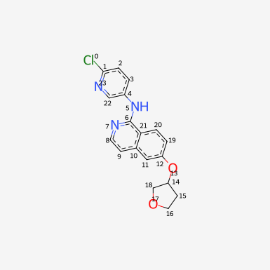 Clc1ccc(Nc2nccc3cc(OC4CCOC4)ccc23)cn1